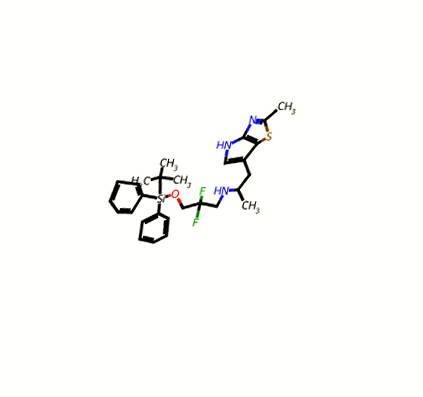 Cc1nc2[nH]cc(CC(C)NCC(F)(F)CO[Si](c3ccccc3)(c3ccccc3)C(C)(C)C)c2s1